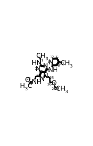 CCNc1nc(Nc2cc(C)ccn2)c2c(n1)c(CNC(C)=O)nn2CCOCC